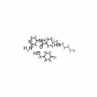 CCCCCNCc1ccc(C(=O)Nc2ccnc(N)c2)cc1.Cc1ccc(CO)cc1